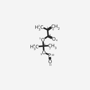 C=C(C)C(=O)OC(C)(C)OP=O